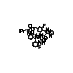 CC(C)C[C@H](N)C(=O)OCc1ccc(-c2nn3cccnc3c2C(=O)N[C@H]2N=C(c3ccccc3)c3cccc(F)c3NC2=O)c(F)c1